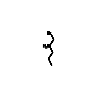 CCC[SiH2]CBr